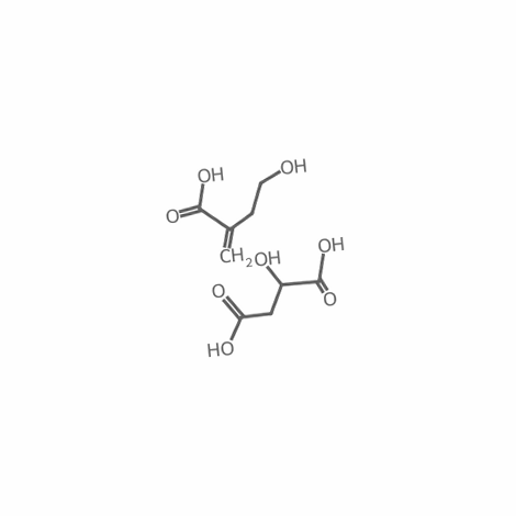 C=C(CCO)C(=O)O.O=C(O)CC(O)C(=O)O